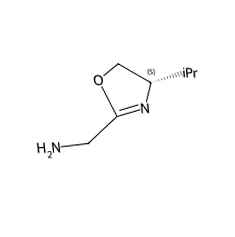 CC(C)[C@H]1COC(CN)=N1